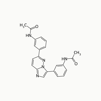 CC(=O)Nc1cccc(-c2ccc3ncc(-c4cccc(NC(C)=O)c4)n3n2)c1